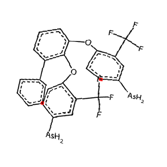 FC(F)(F)c1cc([AsH2])ccc1Oc1cccc(-c2ccccc2)c1Oc1ccc([AsH2])cc1C(F)(F)F